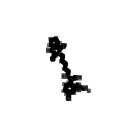 N=C(NCCCCCN1C(=O)NC2(CCCC2)C1=O)c1ccc(Cl)cc1NN